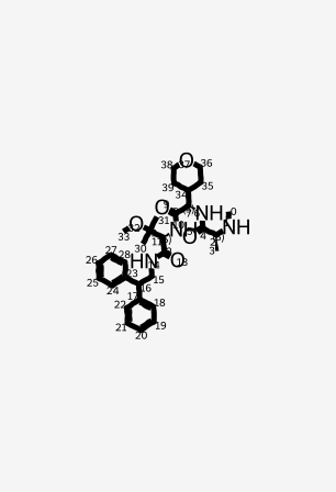 CN[C@@H](C)C(=O)N[C@H](C(=O)N[C@H](C(=O)NCC(c1ccccc1)c1ccccc1)C(C)(C)OC)C1CCOCC1